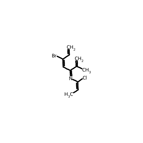 C=C\C(Br)=C/C(=N/C(Cl)=C\C)C(=C)C